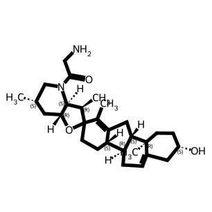 CC1=C2C[C@H]3[C@@H](CC=C4C[C@@H](O)CC[C@@]43C)[C@@H]2CCC12O[C@@H]1C[C@H](C)CN(C(=O)CN)[C@H]1[C@H]2C